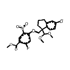 COC(=O)c1cc([N+](=O)[O-])c(OCC2(C(OC)OC)CCCc3cc(Cl)ccc32)cc1F